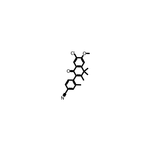 COc1cc2c(cc1Cl)C(=O)C(c1ccc(C#N)cc1C)=C(C)C2(C)C